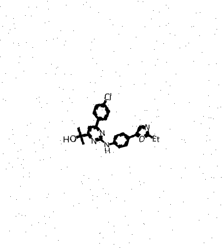 CCc1ncc(-c2ccc(Nc3nc(-c4ccc(Cl)cc4)cc(C(C)(C)O)n3)cc2)o1